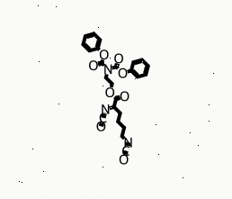 O=C=NCCCCC(N=C=O)C(=O)OCCN(C(=O)Oc1ccccc1)C(=O)Oc1ccccc1